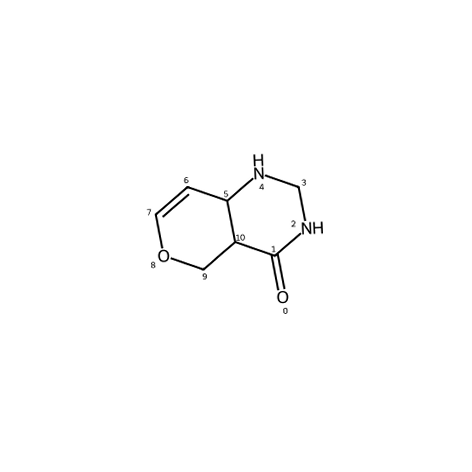 O=C1NCNC2C=COCC12